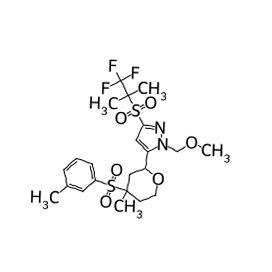 COCn1nc(S(=O)(=O)C(C)(C)C(F)(F)F)cc1C1CC(C)(S(=O)(=O)c2cccc(C)c2)CCO1